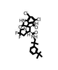 CC(C)(C)c1cccc(C(C)(C)CNC(=O)[C@H]2[C@H]3CC(F)(F)CN3[C@]3(C(=O)Nc4c(Cl)cc(Cl)cc43)[C@H]2C(=O)O)c1